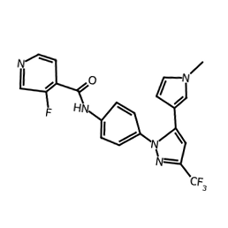 Cn1ccc(-c2cc(C(F)(F)F)nn2-c2ccc(NC(=O)c3ccncc3F)cc2)c1